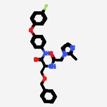 Cc1nccn1CC(=O)N[C@@H](COCc1ccccc1)C(=O)Nc1ccc(Oc2ccc(F)cc2)cc1